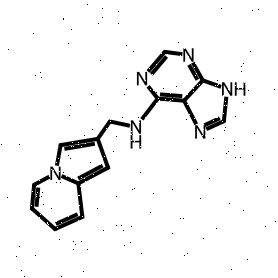 c1ccn2cc(CNc3ncnc4[nH]cnc34)cc2c1